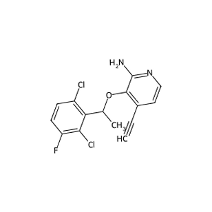 C#Cc1ccnc(N)c1OC(C)c1c(Cl)ccc(F)c1Cl